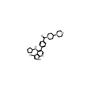 O=C(c1ccc(-c2cnc3[nH]cc(Cl)c3c2NC2CCCC2)cc1)N1CCC(N2CCOCC2)CC1